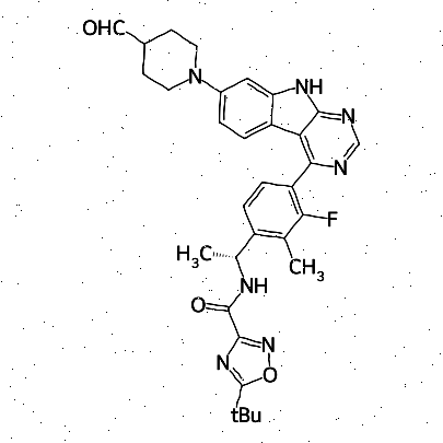 Cc1c([C@@H](C)NC(=O)c2noc(C(C)(C)C)n2)ccc(-c2ncnc3[nH]c4cc(N5CCC(C=O)CC5)ccc4c23)c1F